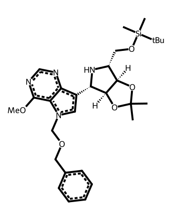 COc1ncnc2c([C@@H]3N[C@H](CO[Si](C)(C)C(C)(C)C)[C@H]4OC(C)(C)O[C@H]43)cn(COCc3ccccc3)c12